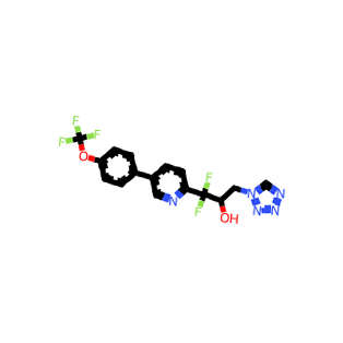 OC(Cn1cnnn1)C(F)(F)c1ccc(-c2ccc(OC(F)(F)F)cc2)cn1